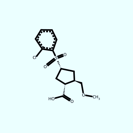 COC[C@@H]1C[C@@H](S(=O)(=O)c2ccccc2Cl)C[C@H]1C(=O)O